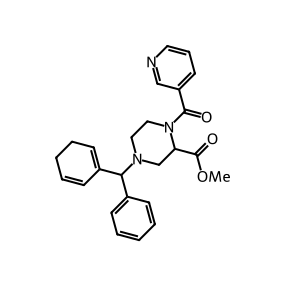 COC(=O)C1CN(C(C2=CCCC=C2)c2ccccc2)CCN1C(=O)c1cccnc1